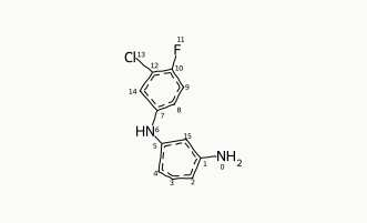 Nc1cccc(Nc2ccc(F)c(Cl)c2)c1